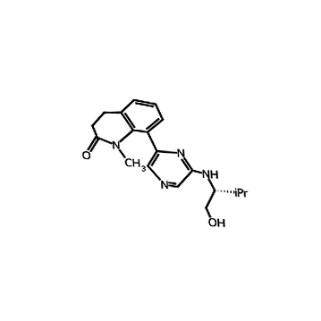 CC(C)[C@H](CO)Nc1cncc(-c2cccc3c2N(C)C(=O)CC3)n1